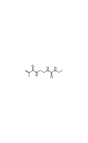 C=C(C)C(=O)NCCNC(=O)NCC